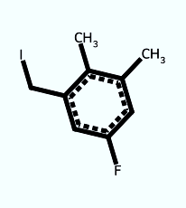 Cc1cc(F)cc(CI)c1C